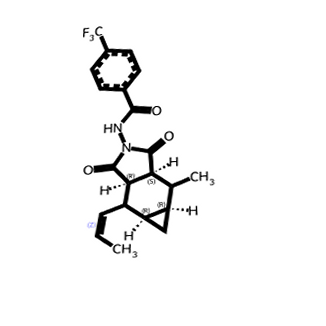 C/C=C\C1[C@H]2C(=O)N(NC(=O)c3ccc(C(F)(F)F)cc3)C(=O)[C@H]2C(C)[C@H]2C[C@@H]12